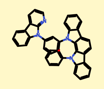 c1ccc(-n2c3ccccc3c3ccc4c5ccccc5n(-c5cccc(-n6c7ccccc7c7cccnc76)c5)c4c32)cc1